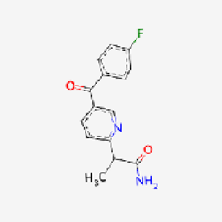 CC(C(N)=O)c1ccc(C(=O)c2ccc(F)cc2)cn1